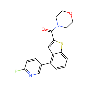 O=C(c1cc2c(-c3ccc(F)nc3)cccc2s1)N1CCOCC1